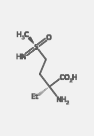 CC[C@](N)(CC[S@](C)(=N)=O)C(=O)O